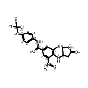 O=C1CC(Nc2c(Br)cc(C(=O)Nc3ccc(OC(F)(F)Cl)cc3)cc2[N+](=O)[O-])CN1